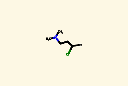 CCC(Cl)CCN(C)C